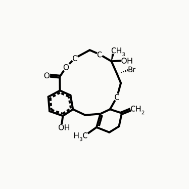 C=C1CCC(C)=C2Cc3cc(ccc3O)C(=O)OCCC[C@](C)(O)[C@H](Br)CCC12